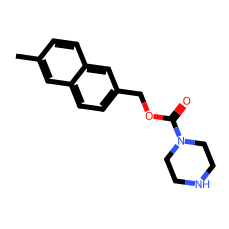 Cc1ccc2cc(COC(=O)N3CCNCC3)ccc2c1